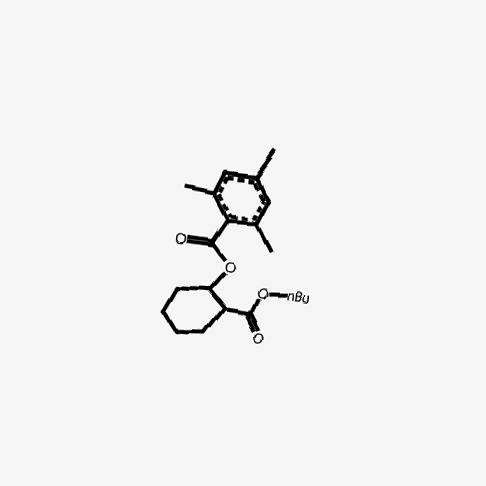 CCCCOC(=O)C1CCCCC1OC(=O)c1c(C)cc(C)cc1C